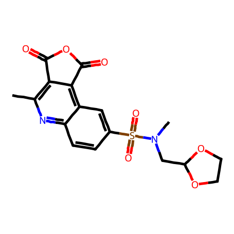 Cc1nc2ccc(S(=O)(=O)N(C)CC3OCCO3)cc2c2c1C(=O)OC2=O